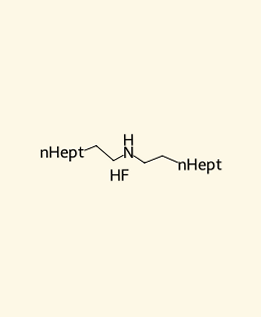 CCCCCCCCCNCCCCCCCCC.F